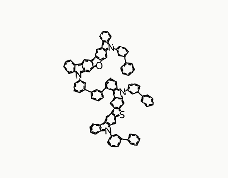 c1ccc(-c2cccc(-n3c4ccccc4c4cc5c(cc43)oc3cc4c(cc35)c3ccccc3n4-c3cccc(-c4cccc(-c5cccc6c5c5cc7c(cc5n6-c5cccc(-c6ccccc6)c5)sc5cc6c(cc57)c5ccccc5n6-c5cccc(-c6ccccc6)c5)c4)c3)c2)cc1